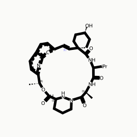 CC(C)C1NC(=O)[C@]2(/C=C/c3ccc4ccc(nc4c3)[C@@H](C)OC(=O)[C@@H]3CCCN(N3)C(=O)[C@H](C)NC1=O)CC[C@@H](O)CC2